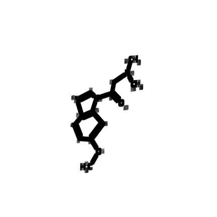 COc1ccc2ncn(C(=O)CN(C)C)c2c1